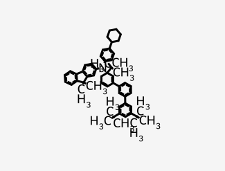 CC(C)(C)c1cc(-c2cccc(C3=CC(N(c4ccc(C5CCCCC5)cc4)c4ccc5c(c4)C(C)(C)c4ccccc4-5)(C(C)(C)C)CC=C3)c2)cc(C(C)(C)C)c1